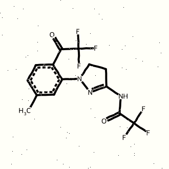 Cc1ccc(C(=O)C(F)(F)F)c(N2CCC(NC(=O)C(F)(F)F)=N2)c1